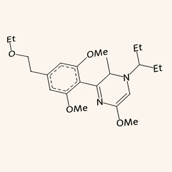 CCOCCc1cc(OC)c(C2=NC(OC)=CN(C(CC)CC)C2C)c(OC)c1